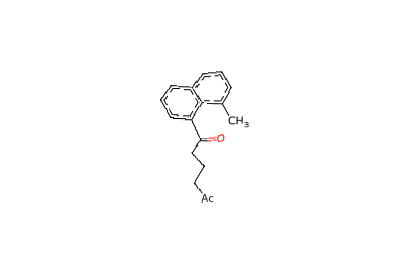 CC(=O)CCCC(=O)c1cccc2cccc(C)c12